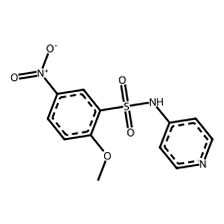 COc1ccc([N+](=O)[O-])cc1S(=O)(=O)Nc1ccncc1